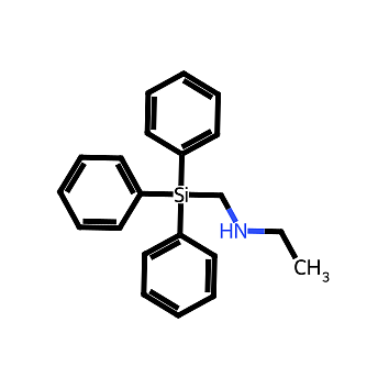 CCNC[Si](c1ccccc1)(c1ccccc1)c1ccccc1